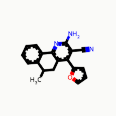 CC1Cc2c(nc(N)c(C#N)c2-c2ccco2)-c2ccccc21